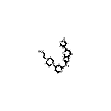 OCCN1CCN(c2ccnc(Nc3nc4ccc(-c5cn[nH]c5)nc4s3)c2)CC1